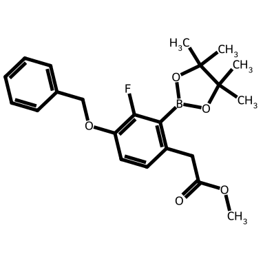 COC(=O)Cc1ccc(OCc2ccccc2)c(F)c1B1OC(C)(C)C(C)(C)O1